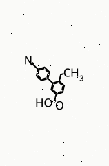 CCc1ccc(C(=O)O)cc1-c1ccc(C#N)cc1